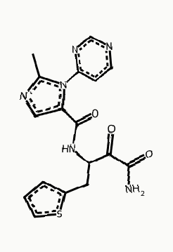 Cc1ncc(C(=O)NC(Cc2cccs2)C(=O)C(N)=O)n1-c1ccncn1